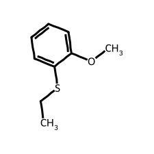 CCSc1ccccc1OC